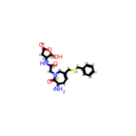 NC1CC=C(CSCc2ccccc2)CN(CC(=O)NC2CC(=O)OC2O)C1=O